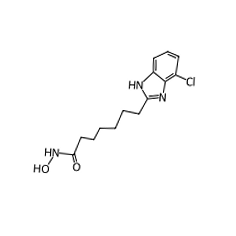 O=C(CCCCCCc1nc2c(Cl)cccc2[nH]1)NO